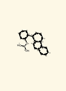 OB(O)Oc1ccccc1-c1cccc2c1ccc1ccccc12